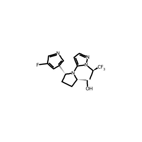 C[C@@H](n1nccc1N1[C@H](CO)CC[C@@H]1c1cncc(F)c1)C(F)(F)F